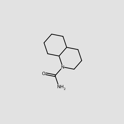 NC(=O)N1CCCC2CCCCC21